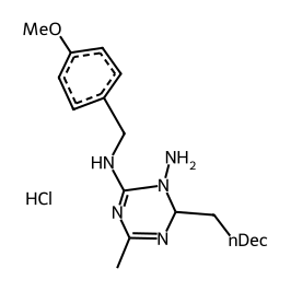 CCCCCCCCCCCC1N=C(C)N=C(NCc2ccc(OC)cc2)N1N.Cl